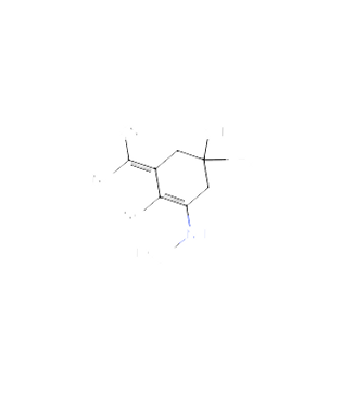 CC1(C)CC(NC(=O)O)=C(C#N)C(=C(C#N)C#N)C1